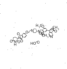 COc1cc(-c2cn(C)c(=O)c3cnccc23)cc(OC)c1CN(C)C1CCN(CCOc2ccc3c(c2)C(=O)N(C2CCC(=O)NC2=O)C3=O)CC1.O=CO